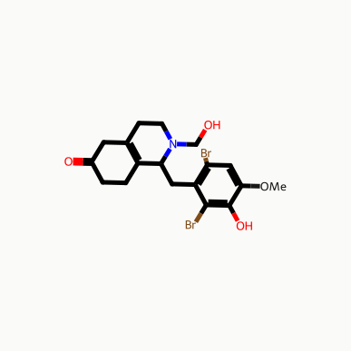 COc1cc(Br)c(CC2C3=C(CCN2CO)CC(=O)CC3)c(Br)c1O